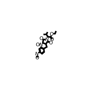 CCOC(=O)C(C(C)C)N1C(=O)CC(Cc2ccc(N=O)cc2N=O)C1=O